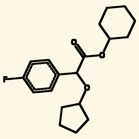 O=C(OC1CCCCC1)C(OC1CCCC1)c1ccc(F)cc1